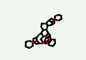 c1ccc(-c2c3cccc2c2c4ccccc4c(c4c5ccccc5c3c3ccccc34)c3c2ccc2c4cccc(c4-c4ccccc4)c23)cc1